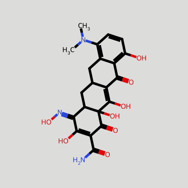 CN(C)c1ccc(O)c2c1CC1CC3/C(=N/O)C(O)=C(C(N)=O)C(=O)C3(O)C(O)=C1C2=O